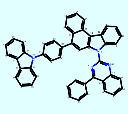 c1ccc(-c2nc(-n3c4ccccc4c4c5ccccc5c(-c5ccc(-n6c7ccccc7c7ccccc76)cc5)cc43)nc3ccccc23)cc1